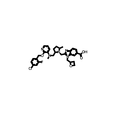 CC1CCC(CN(C)c2cccnc2OCc2ccc(Cl)cc2F)N1Cc1nc2ccc(C(=O)O)cc2n1CC1CCO1